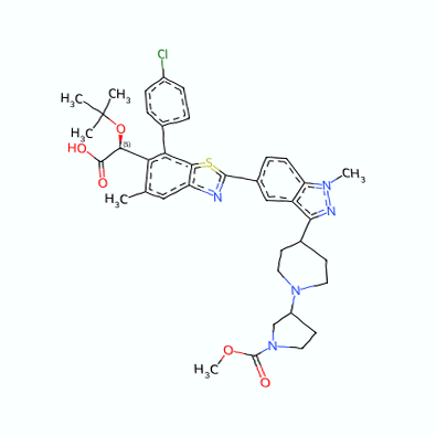 COC(=O)N1CCC(N2CCC(c3nn(C)c4ccc(-c5nc6cc(C)c([C@H](OC(C)(C)C)C(=O)O)c(-c7ccc(Cl)cc7)c6s5)cc34)CC2)C1